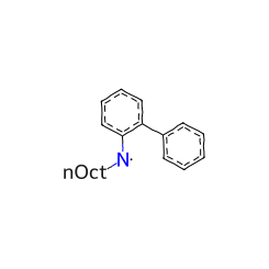 CCCCCCCC[N]c1ccccc1-c1ccccc1